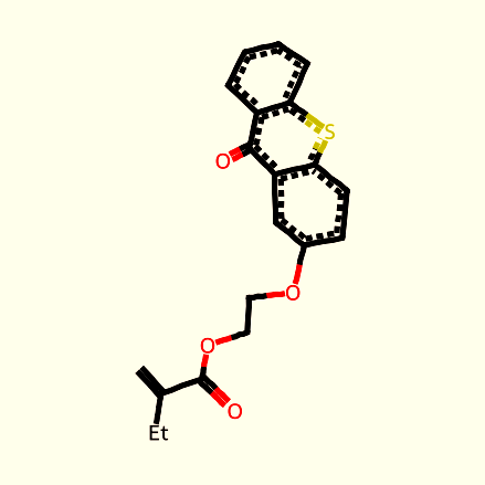 C=C(CC)C(=O)OCCOc1ccc2sc3ccccc3c(=O)c2c1